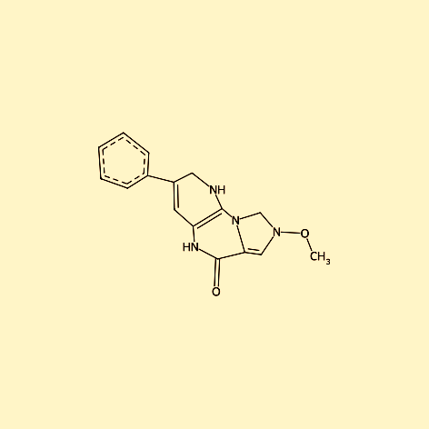 CON1C=C2C(=O)NC3=C(NCC(c4ccccc4)=C3)N2C1